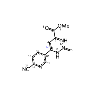 C=NN/C(=C\C(=N)C(=O)OC)c1ccc(C#N)cc1